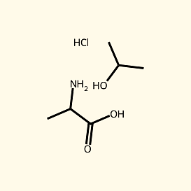 CC(C)O.CC(N)C(=O)O.Cl